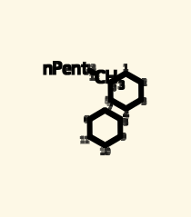 C1CCCCC1.C1CCCCC1.CCCCCC